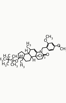 COc1ccc(CN2C(=O)CC[C@@]3(C)C2=CC(C)[C@@H]2[C@H]3CC[C@]3(C)C(O[Si](C)(C)C(C)(C)C)CC[C@@H]23)c(OC)c1